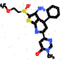 COCC[S+]([O-])c1sc2nc(-c3cc(=O)n(C)cn3)cc(-c3ccccc3)c2c1N